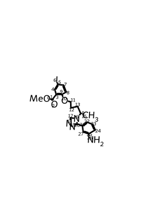 COC(=O)c1cc(I)ccc1OCCC[C@H](C)n1cnnc1-c1cccc(N)c1